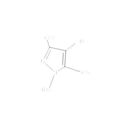 CCCCc1nn(C(C)(C)C)c(C(C)(C)C)c1O